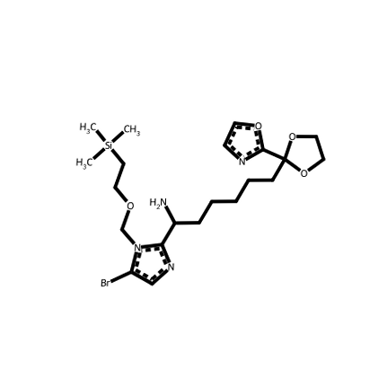 C[Si](C)(C)CCOCn1c(Br)cnc1C(N)CCCCCC1(c2ncco2)OCCO1